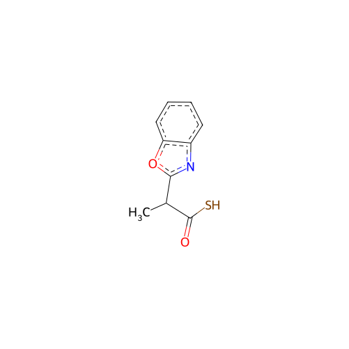 CC(C(=O)S)c1nc2ccccc2o1